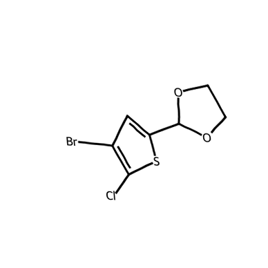 Clc1sc(C2OCCO2)cc1Br